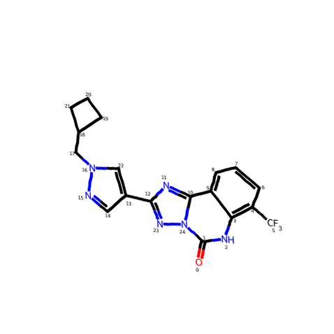 O=c1[nH]c2c(C(F)(F)F)cccc2c2nc(-c3cnn(CC4CCC4)c3)nn12